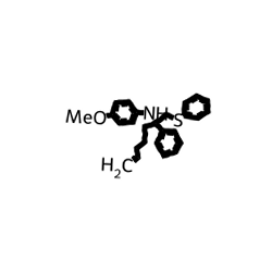 C=CCCCC(CSc1ccccc1)(Nc1ccc(OC)cc1)c1ccccc1